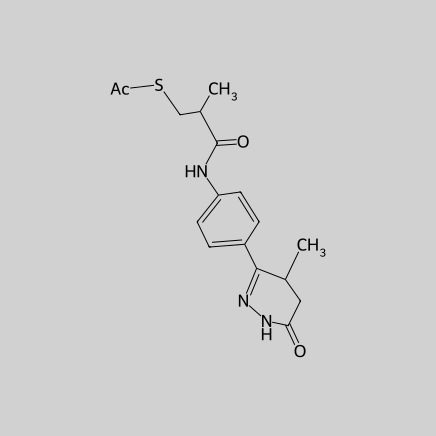 CC(=O)SCC(C)C(=O)Nc1ccc(C2=NNC(=O)CC2C)cc1